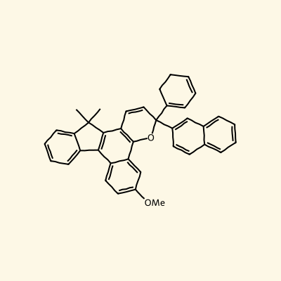 COc1ccc2c3c(c4c(c2c1)OC(C1=CC=CCC1)(c1ccc2ccccc2c1)C=C4)C(C)(C)c1ccccc1-3